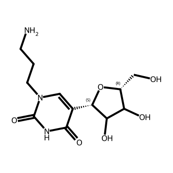 NCCCn1cc([C@@H]2O[C@H](CO)C(O)C2O)c(=O)[nH]c1=O